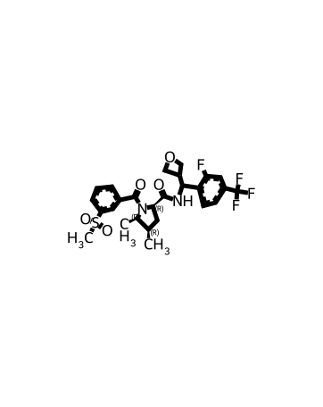 C[C@@H]1C[C@H](C(=O)NC(c2ccc(C(F)(F)F)cc2F)C2COC2)N(C(=O)c2cccc(S(C)(=O)=O)c2)[C@@H]1C